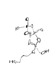 O=P(O)(O)OP(=O)(O)OP(=O)(O)OCCO